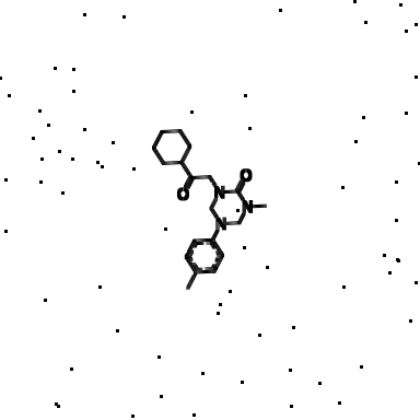 Cc1ccc(N2CN(C)C(=O)N(CC(=O)C3CCCCC3)C2)cc1